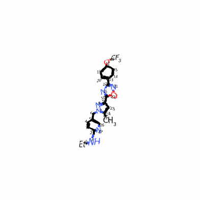 CCNc1ccc(Cn2nc(-c3nc(-c4ccc(OC(F)(F)F)cc4)no3)cc2C)cn1